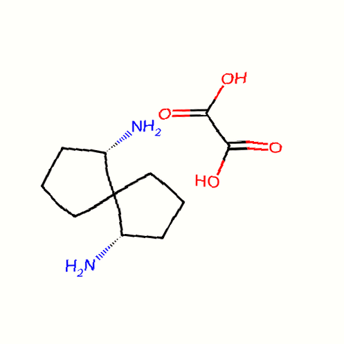 N[C@H]1CCCC12CCC[C@@H]2N.O=C(O)C(=O)O